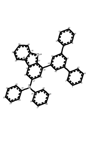 c1ccc(-c2cc(-c3ccccc3)cc(-c3cc(N(c4ccccc4)c4ccccc4)cc4c3oc3ccccc34)c2)cc1